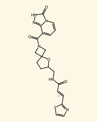 O=C(/C=C/c1nccs1)NCC1CCC2(CN(C(=O)c3cccn4c(=O)[nH]nc34)C2)O1